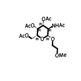 COCCO[C@@H]1O[C@H](COC(C)=O)[C@H](OC(C)=O)[C@H](OC(C)=O)[C@H]1NC(C)=O